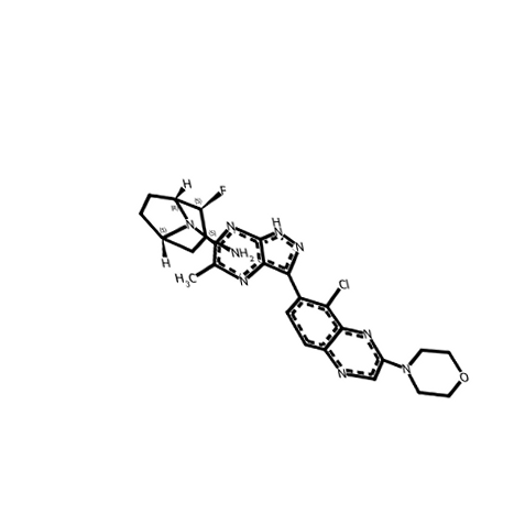 Cc1nc2c(-c3ccc4ncc(N5CCOCC5)nc4c3Cl)n[nH]c2nc1N1[C@H]2CC[C@@H]1[C@@H](F)[C@@H](N)C2